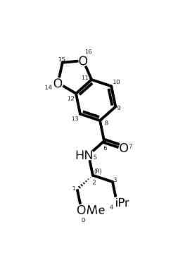 COC[C@@H](CC(C)C)NC(=O)c1ccc2c(c1)OCO2